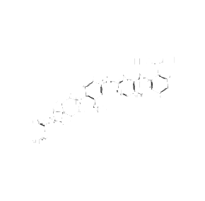 CP(C)c1ccccc1Nc1nc(Nc2ccc(N3CCC4(CC3)CN(C(=O)OC(C)(C)C)C4)c([N+](=O)[O-])c2)ncc1Cl